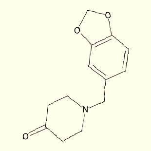 O=C1CCN(Cc2ccc3c(c2)OCO3)CC1